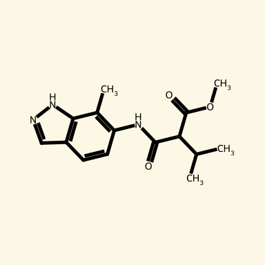 COC(=O)C(C(=O)Nc1ccc2cn[nH]c2c1C)C(C)C